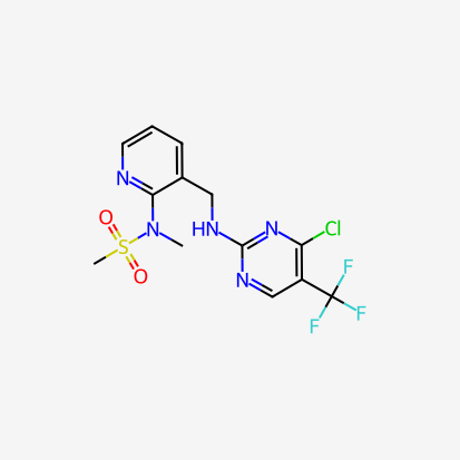 CN(c1ncccc1CNc1ncc(C(F)(F)F)c(Cl)n1)S(C)(=O)=O